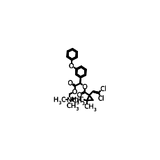 CC1(C)CC1(C=C(Cl)Cl)C(=O)OC(C(=O)OC[N+](C)(C)C)c1cccc(Oc2ccccc2)c1